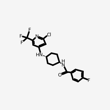 O=C(N[C@H]1CC[C@@H](Nc2cc(Cl)nc(C(F)(F)F)c2)CC1)c1ccc(F)cc1